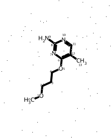 COCCCOc1nc(N)ncc1C